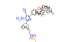 CCC(CCCCNP)n1nc(-c2ccc(O[Si](C)(C)C(C)(C)C)cc2)c(C#N)c1N